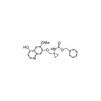 COc1cc2c(O)ccnc2cc1OCC1(NC(=O)OCc2ccccc2)CC1